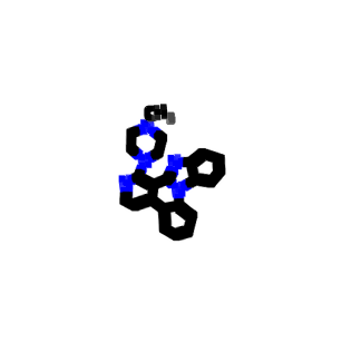 CN1CCN(c2nccc3c4ccccc4n4c5ccccc5nc4c23)CC1